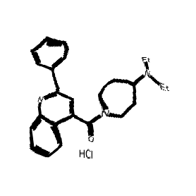 CCN(CC)C1CCN(C(=O)c2cc(-c3ccccc3)nc3ccccc23)CC1.Cl